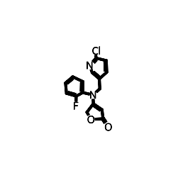 O=C1C=C(N(Cc2ccc(Cl)nc2)c2ccccc2F)CO1